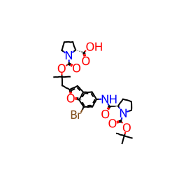 CC(C)(C)OC(=O)N1CCC[C@@H]1C(=O)Nc1cc(Br)c2oc(CC(C)(C)OC(=O)N3CCC[C@@H]3C(=O)O)cc2c1